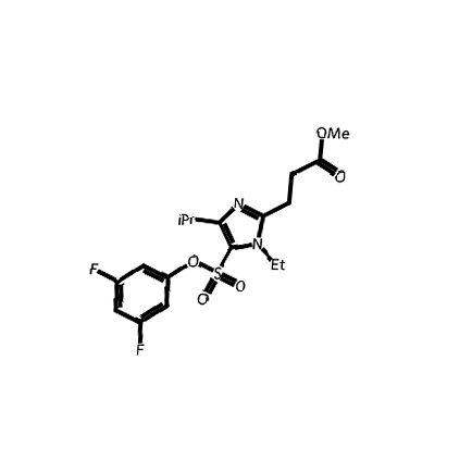 CCn1c(CCC(=O)OC)nc(C(C)C)c1S(=O)(=O)Oc1cc(F)cc(F)c1